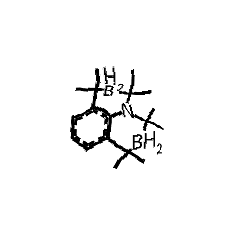 BC(C)(C)c1cccc(C(B)(C)C)c1N(C(C)(C)C)C(C)(C)C